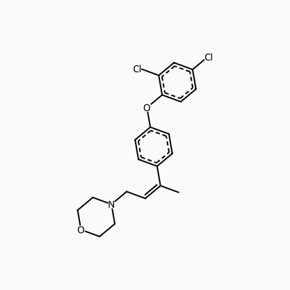 CC(=CCN1CCOCC1)c1ccc(Oc2ccc(Cl)cc2Cl)cc1